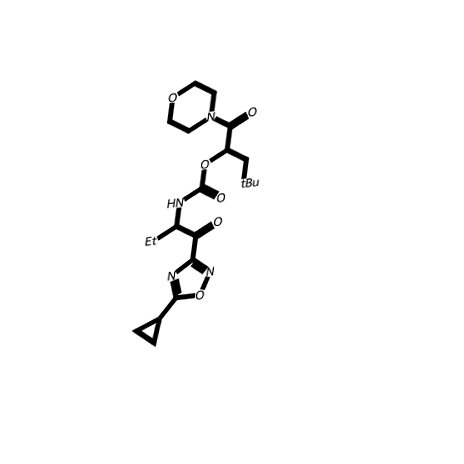 CCC(NC(=O)OC(CC(C)(C)C)C(=O)N1CCOCC1)C(=O)c1noc(C2CC2)n1